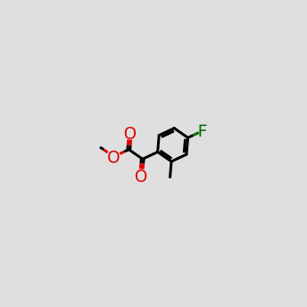 COC(=O)C(=O)c1ccc(F)cc1C